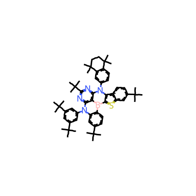 CC(C)(C)c1cc(N2c3cc(C(C)(C)C)ccc3B3c4sc5cc(C(C)(C)C)ccc5c4N(c4ccc5c(c4)C(C)(C)CCC5(C)C)c4nc(C(C)(C)C)nc2c43)cc(C(C)(C)C)c1